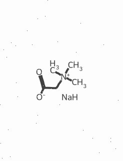 C[N+](C)(C)CC(=O)[O-].[NaH]